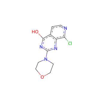 Oc1nc(N2CCOCC2)nc2c(Cl)nccc12